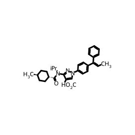 C/C=C(\c1ccccc1)c1ccc(-n2cc(C(=O)O)c(N(C(=O)[C@H]3CC[C@H](C)CC3)C(C)C)n2)cc1